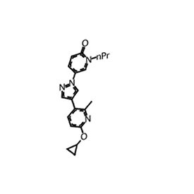 CCCn1cc(-n2cc(-c3ccc(OC4CC4)nc3C)cn2)ccc1=O